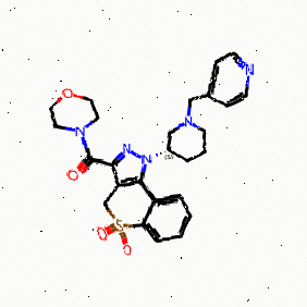 O=C(c1nn([C@H]2CCCN(Cc3ccncc3)C2)c2c1CS(=O)(=O)c1ccccc1-2)N1CCOCC1